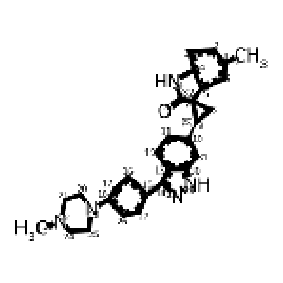 Cc1ccc2c(c1)C1(C[C@H]1c1ccc3c(-c4ccc(N5CCN(C)CC5)cc4)n[nH]c3c1)C(=O)N2